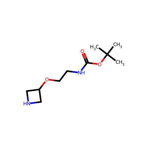 CC(C)(C)OC(=O)NCCOC1CNC1